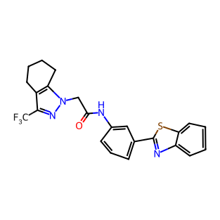 O=C(Cn1nc(C(F)(F)F)c2c1CCCC2)Nc1cccc(-c2nc3ccccc3s2)c1